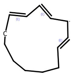 [CH]1/C=C/C=C/CCCCCC/C=C/1